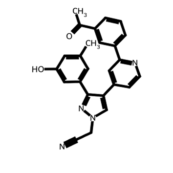 CC(=O)c1cccc(-c2cc(-c3cn(CC#N)nc3-c3cc(C)cc(O)c3)ccn2)c1